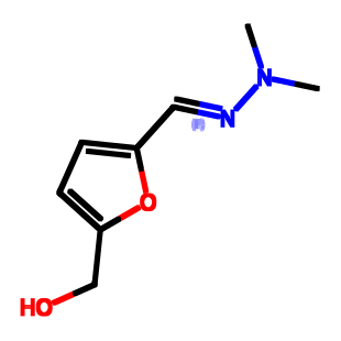 CN(C)/N=C/c1ccc(CO)o1